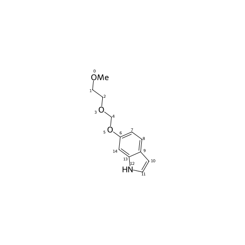 COCCOCOc1ccc2cc[nH]c2c1